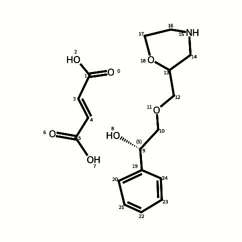 O=C(O)C=CC(=O)O.O[C@H](COCC1CNCCO1)c1ccccc1